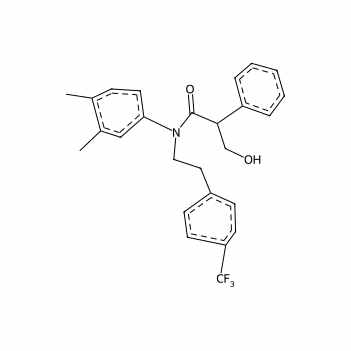 Cc1ccc(N(CCc2ccc(C(F)(F)F)cc2)C(=O)C(CO)c2ccccc2)cc1C